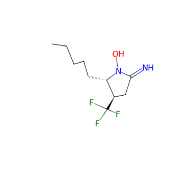 CCCCC[C@H]1[C@H](C(F)(F)F)CC(=N)N1O